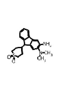 CN(C)c1cc2c(cc1N)-c1ccccc1C2C1CCS(=O)(=O)CC1